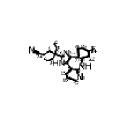 CCC(CC)(CCC#N)c1nc2c([nH]1)-c1cccnc1Nc1cc(F)ccc1-2